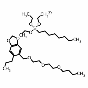 CCCCCCCC[Si](OCC)(OCC)OCC.CCCCOCCOCCOCc1cc2c(cc1CCC)OCO2.[Zr]